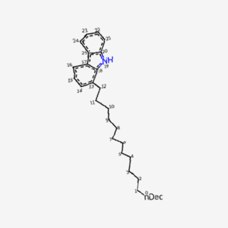 CCCCCCCCCCCCCCCCCCCCCCc1cccc2c1[nH]c1ccccc12